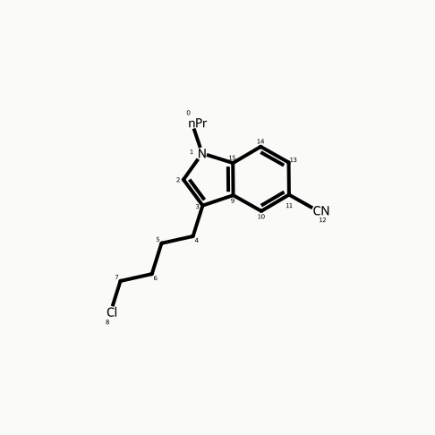 CCCn1cc(CCCCCl)c2cc(C#N)ccc21